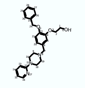 OCCOc1cc(CN2CCN(c3ccccn3)CC2)ccc1OCc1ccccc1